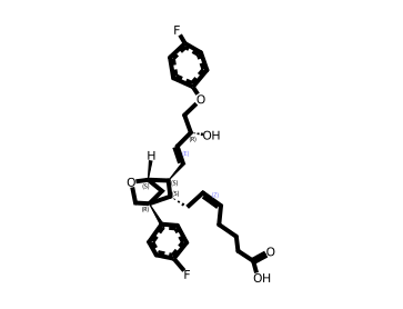 O=C(O)CCC/C=C\C[C@H]1[C@H](/C=C/[C@@H](O)COc2ccc(F)cc2)[C@@H]2C[C@@]1(c1ccc(F)cc1)CO2